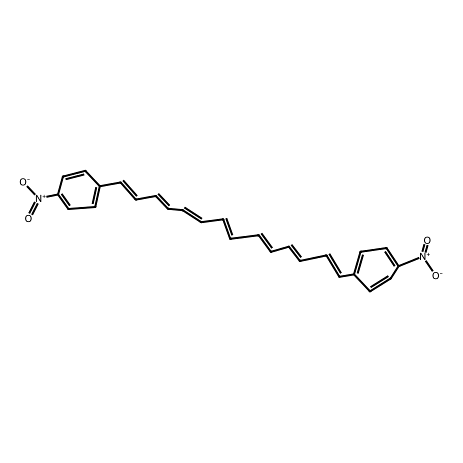 O=[N+]([O-])c1ccc(C=CC=CC=CC=CC=CC=CC=Cc2ccc([N+](=O)[O-])cc2)cc1